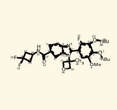 CCCCOc1c(OC)cc(-c2nc3ccc(C(=O)NC4CC(F)(F)C4)cc3n2C2(C)COC2)c(F)c1OCCCC